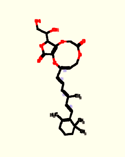 CC1=C(/C=C/C(C)=C/C=C/C2=C/COC(=O)COC3=C(O2)C(=O)OC3C(O)CO)C(C)(C)CCC1